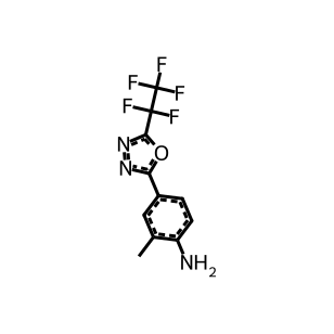 Cc1cc(-c2nnc(C(F)(F)C(F)(F)F)o2)ccc1N